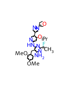 COc1ccc(Cc2c(N)nc([C@H](C)F)nc2Nc2cc(OC(C)C)c(-c3cnn([C@@H]4CCOC4)c3)cn2)c(OC)c1